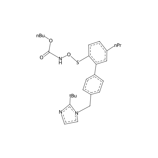 CCCCOC(=O)NOSc1ccc(CCC)cc1-c1ccc(Cn2ccnc2C(C)(C)C)cc1